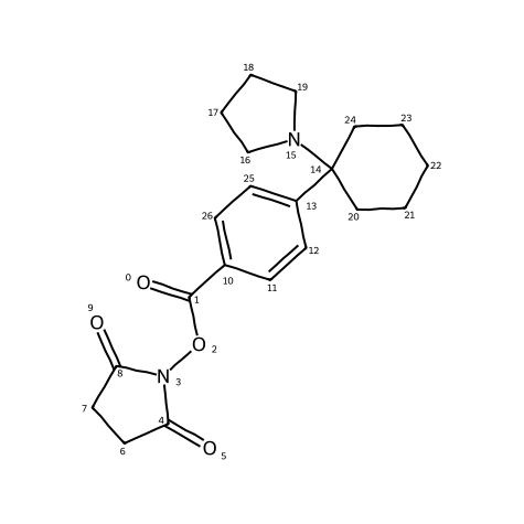 O=C(ON1C(=O)CCC1=O)c1ccc(C2(N3CCCC3)CCCCC2)cc1